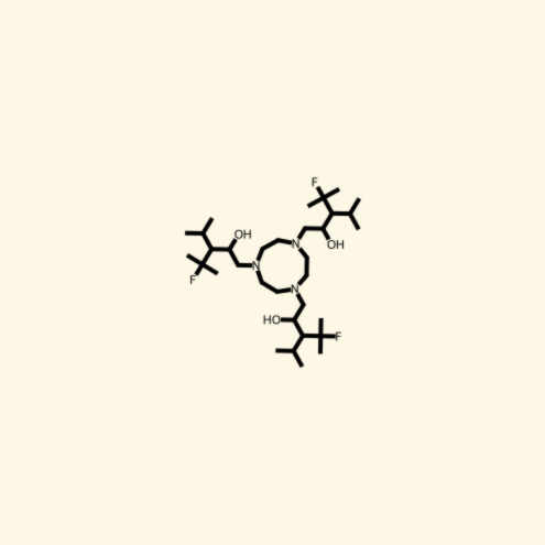 CC(C)C(C(O)CN1CCN(CC(O)C(C(C)C)C(C)(C)F)CCN(CC(O)C(C(C)C)C(C)(C)F)CC1)C(C)(C)F